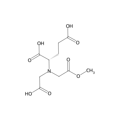 COC(=O)CN(CC(=O)O)[C@@H](CCC(=O)O)C(=O)O